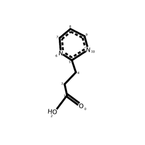 O=C(O)CCc1ncccn1